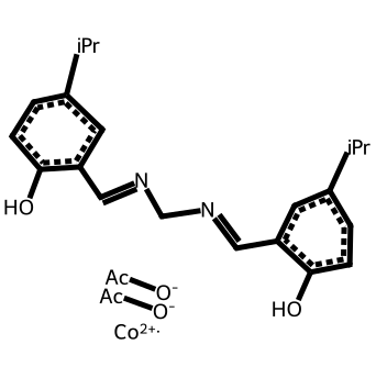 CC(=O)[O-].CC(=O)[O-].CC(C)c1ccc(O)c(C=NCN=Cc2cc(C(C)C)ccc2O)c1.[Co+2]